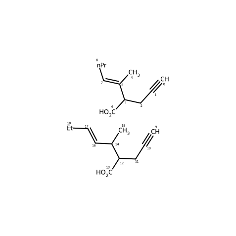 C#CCC(C(=O)O)C(C)=CCCC.C#CCC(C(=O)O)C(C)C=CCC